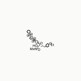 CCOc1ccc(CCC[C@@H](C(=O)N2CCN(S(=O)(=O)c3ccc(S(=O)(=O)c4ccccc4)s3)CC2)[C@H](O)C(=O)NC)cc1